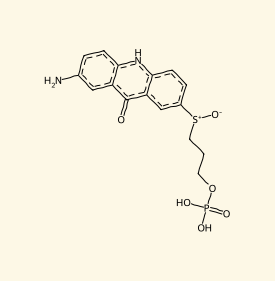 Nc1ccc2[nH]c3ccc([S+]([O-])CCCOP(=O)(O)O)cc3c(=O)c2c1